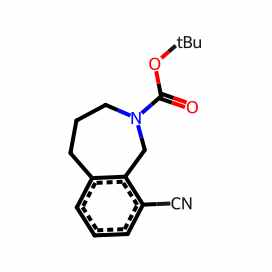 CC(C)(C)OC(=O)N1CCCc2cccc(C#N)c2C1